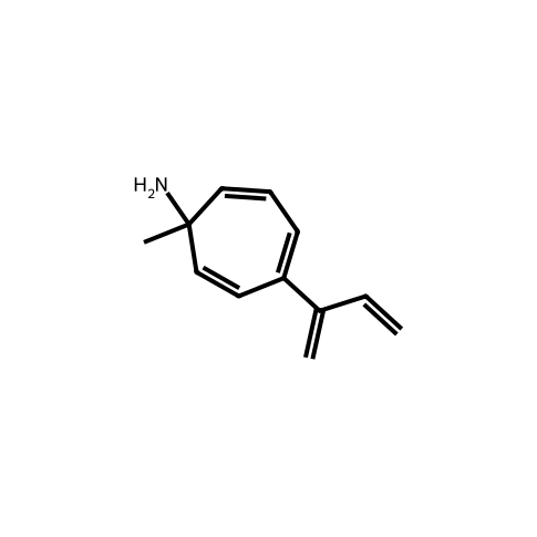 C=CC(=C)C1=CC=CC(C)(N)C=C1